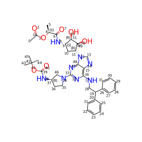 CC(=O)O[C@@H](C)C(=O)N[C@H]1C[C@@H](n2cnc3c(NCC(c4ccccc4)c4ccccc4)nc(N4CC[C@@H](NC(=O)OC(C)(C)C)C4)nc32)[C@H](O)[C@@H]1O